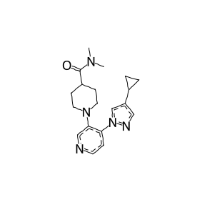 CN(C)C(=O)C1CCN(c2cnccc2-n2cc(C3CC3)cn2)CC1